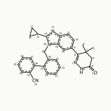 CC1(C)CC(=O)NN=C1c1ccc2nc(C3CC3)n(Cc3ccccc3-c3ccccc3C#N)c2c1